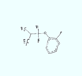 Fc1ccccc1OC(F)(F)C(C(F)(F)F)C(F)(F)F